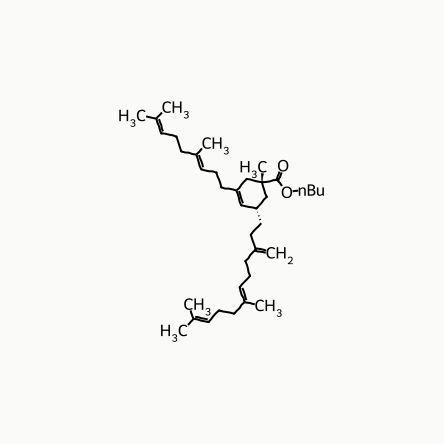 C=C(CC/C=C(\C)CCC=C(C)C)CC[C@@H]1C=C(CC/C=C(\C)CCC=C(C)C)C[C@](C)(C(=O)OCCCC)C1